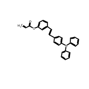 C=CC(=O)Oc1cccc(C=Cc2ccc(N(c3ccccc3)c3ccccc3)cc2)c1